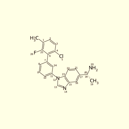 Cc1ccc(Cl)c(-c2cccc(-n3cnc4cc([C@@H](C)N)ccc43)c2)c1F